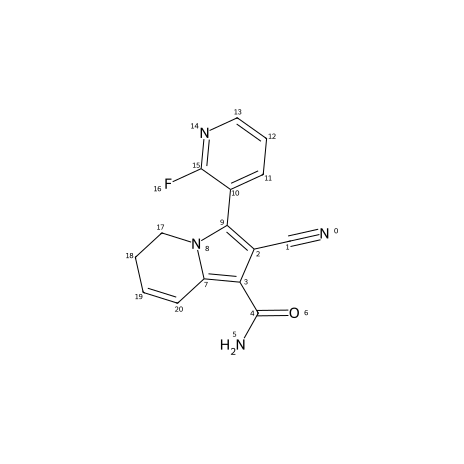 N#Cc1c(C(N)=O)c2n(c1-c1cccnc1F)CCC=C2